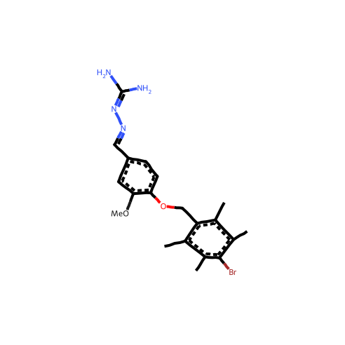 COc1cc(C=NN=C(N)N)ccc1OCc1c(C)c(C)c(Br)c(C)c1C